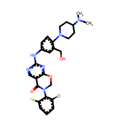 CN(C)C1CCN(c2ccc(Nc3ncc4c(n3)OCN(c3c(F)cccc3Cl)C4=O)cc2CO)CC1